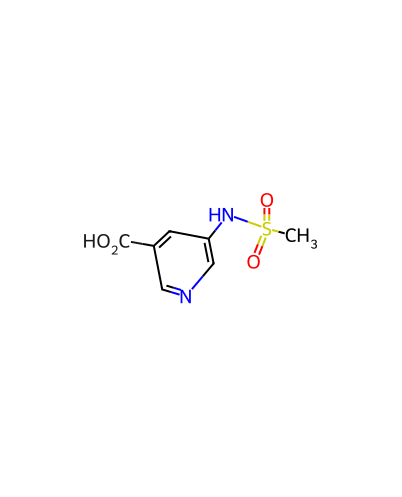 CS(=O)(=O)Nc1cncc(C(=O)O)c1